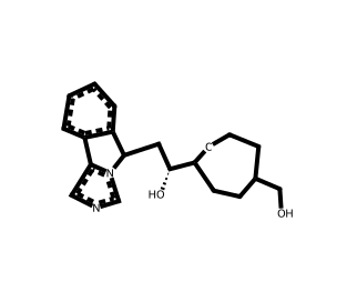 OCC1CCCC([C@H](O)CC2c3ccccc3-c3cncn32)CC1